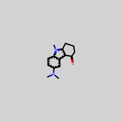 CN(C)c1ccc2c(c1)c1c(n2C)CCCC1=O